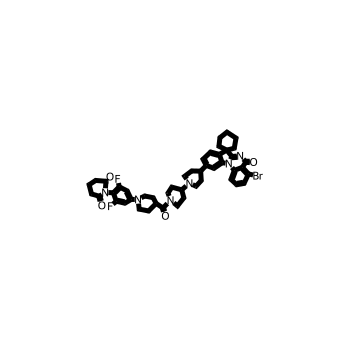 O=C(C1CCN(c2cc(F)c(N3C(=O)CCCC3=O)c(F)c2)CC1)N1CCC(N2CCC(c3ccc4c(c3)-n3c(nc(=O)c5c(Br)cccc53)C43CCCCC3)CC2)CC1